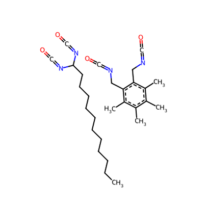 CCCCCCCCCCCC(N=C=O)N=C=O.Cc1c(C)c(C)c(CN=C=O)c(CN=C=O)c1C